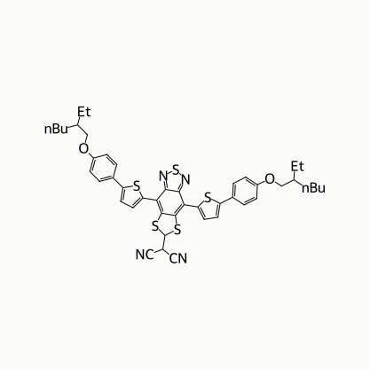 CCCCC(CC)COc1ccc(-c2ccc(-c3c4c(c(-c5ccc(-c6ccc(OCC(CC)CCCC)cc6)s5)c5nsnc35)SC(C(C#N)C#N)S4)s2)cc1